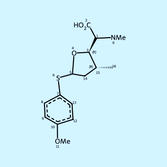 CNC(C(=O)O)[C@@H]1OC(Sc2ccc(OC)cc2)C[C@H]1C